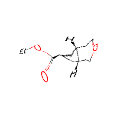 CCOC(=O)[C@H]1[C@@H]2COC[C@@H]21